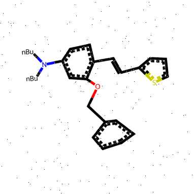 CCCCN(CCCC)c1ccc(/C=C/c2cccs2)c(OCc2ccccc2)c1